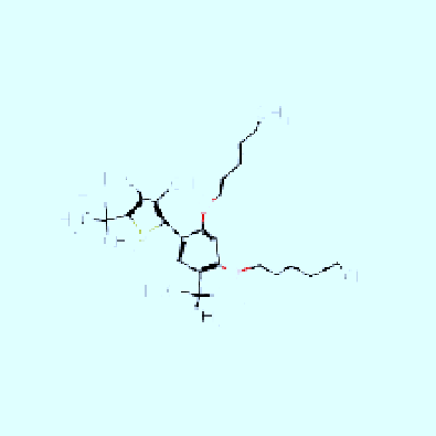 CCCCCCOc1cc(OCCCCCC)c(C(C)(C)C)cc1-c1sc(C(C)(C)C)c(C)c1C